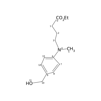 CCOC(=O)CCCN(C)c1ccc(CO)cc1